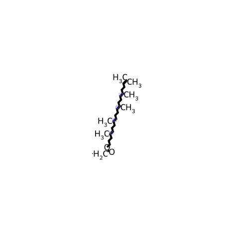 [CH2]C(=O)OCCC/C(C)=C/CC/C(C)=C/CC/C=C(\C)CC/C=C(\C)CCC=C(C)C